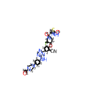 N#Cc1cc(-c2ncnc(Nc3ccc(N4CCN(C5COC5)CC4)cc3)n2)ccc1O[C@H]1CCN(C(=O)[C@@H]2CSC(=O)N2)C[C@@H]1F